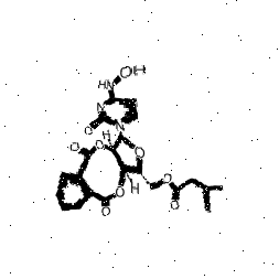 CC(C)CC(=O)OC[C@H]1O[C@@H](n2ccc(NO)nc2=O)[C@@H]2OC(=O)c3ccccc3C(=O)O[C@@H]21